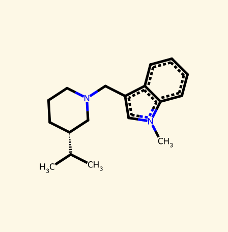 CC(C)[C@@H]1CCCN(Cc2cn(C)c3ccccc23)C1